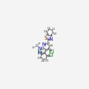 CC(C)Nc1nc(-c2nc3ccccc3s2)cc(Cl)c1-c1c(F)cccc1Cl